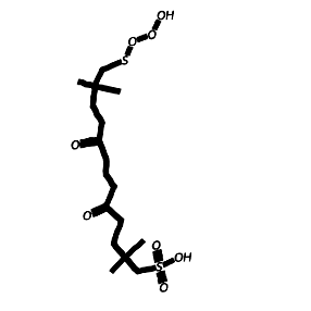 CC(C)(CCC(=O)CCCC(=O)CCC(C)(C)CS(=O)(=O)O)CSOOO